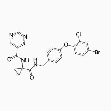 O=C(NC1(C(=O)NCc2ccc(Oc3ccc(Br)cc3Cl)cc2)CC1)c1cncnc1